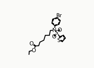 CCOC(=O)CCCCCCN(c1ccc(Br)cc1)S(=O)(=O)c1cccs1